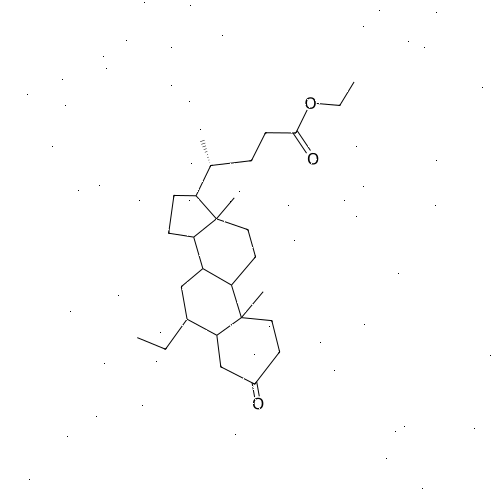 CCOC(=O)CC[C@@H](C)C1CCC2C3CC(CC)C4CC(=O)CCC4(C)C3CCC21C